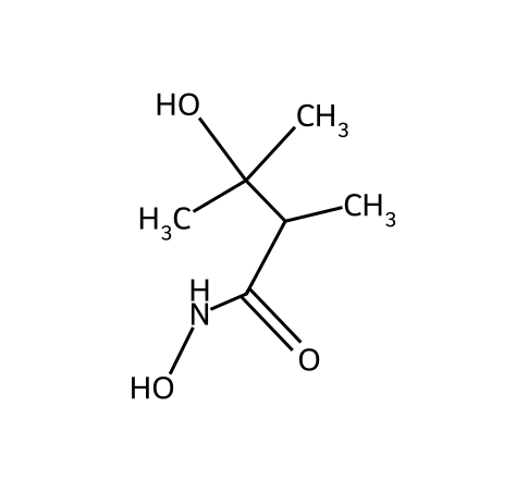 CC(C(=O)NO)C(C)(C)O